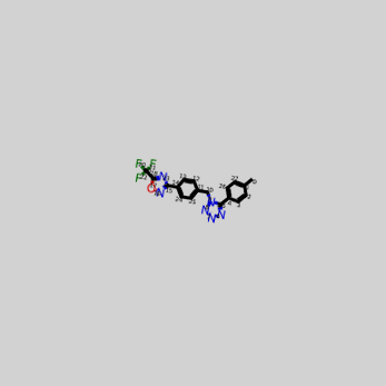 Cc1ccc(-c2nnnn2Cc2ccc(-c3noc(C(F)(F)F)n3)cc2)cc1